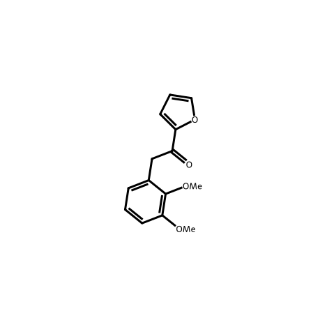 COc1cccc(CC(=O)c2ccco2)c1OC